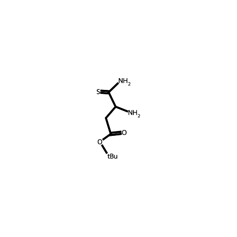 CC(C)(C)OC(=O)CC(N)C(N)=S